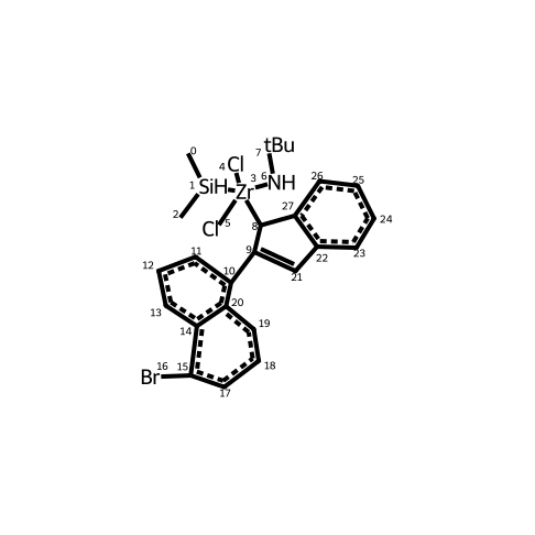 C[SiH](C)[Zr]([Cl])([Cl])([NH]C(C)(C)C)[CH]1C(c2cccc3c(Br)cccc23)=Cc2ccccc21